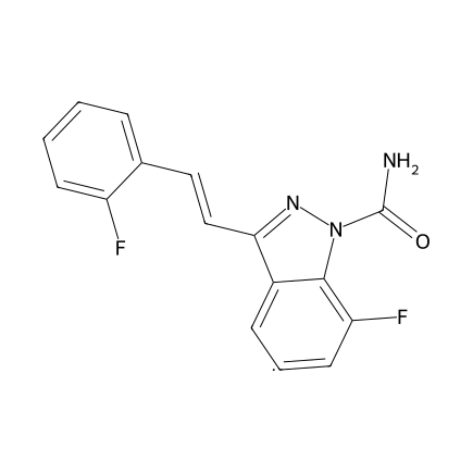 NC(=O)n1nc(C=Cc2ccccc2F)c2c[c]cc(F)c21